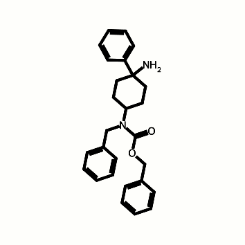 NC1(c2ccccc2)CCC(N(Cc2ccccc2)C(=O)OCc2ccccc2)CC1